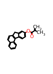 C=C(C)C(=O)Oc1ccc2c(c1)Cc1ccc3ccccc3c1-2